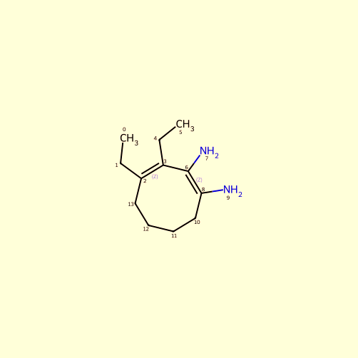 CC/C1=C(CC)/C(N)=C(/N)CCCC1